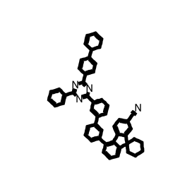 N#Cc1ccc2c(c1)C1(CCCCC1)c1cccc(-c3cccc(-c4cccc(-c5nc(-c6ccccc6)nc(-c6ccc(C7C=CC=CC7)cc6)n5)c4)c3)c1-2